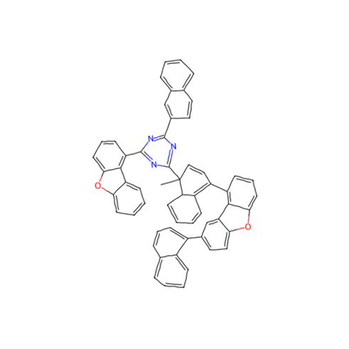 CC1(c2nc(-c3ccc4ccccc4c3)nc(-c3cccc4oc5ccccc5c34)n2)C=CC(c2cccc3oc4ccc(-c5cccc6ccccc56)cc4c23)=C2C=CC=CC21